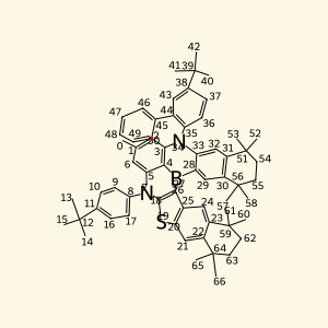 Cc1cc2c3c(c1)N(c1ccc(C(C)(C)C)cc1)c1sc4cc5c(cc4c1B3c1cc3c(cc1N2c1ccc(C(C)(C)C)cc1-c1ccccc1)C(C)(C)CCC3(C)C)C(C)(C)CCC5(C)C